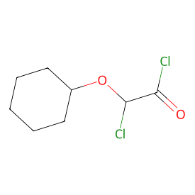 O=C(Cl)C(Cl)OC1CCCCC1